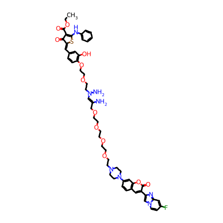 CCOC(=O)C1=C(Nc2ccccc2)S/C(=C\c2ccc(OCCOCCN(N)/C=C(\N)COCCOCCOCCOCCN3CCN(c4ccc5cc(-c6cn7ccc(F)cc7n6)c(=O)oc5c4)CC3)c(O)c2)C1=O